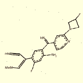 CN/C=C(\C=N)c1cc(C(=N)c2ccnc(N3CC(F)C3)c2)c(N)cc1F